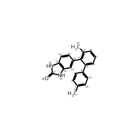 Cc1ccc(-c2cccc(C)c2-c2ccc3[nH]c(=O)[nH]c3c2)cc1